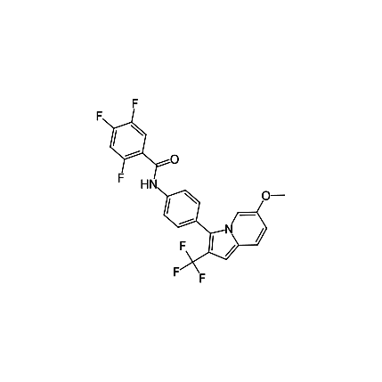 COc1ccc2cc(C(F)(F)F)c(-c3ccc(NC(=O)c4cc(F)c(F)cc4F)cc3)n2c1